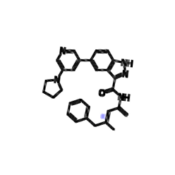 C=C(/C=C(\C)Cc1ccccc1)NC(=O)c1n[nH]c2ccc(-c3cncc(N4CCCC4)c3)cc12